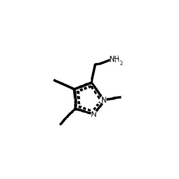 Cc1nn(C)c(CN)c1C